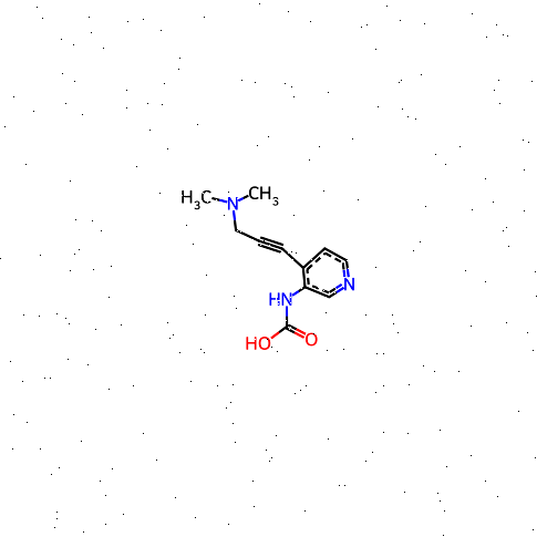 CN(C)CC#Cc1ccncc1NC(=O)O